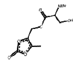 CNC(CO)C(=O)OCc1oc(=O)oc1C